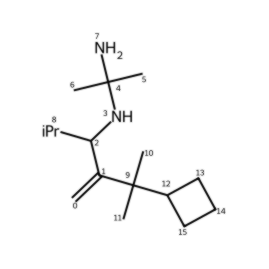 C=C(C(NC(C)(C)N)C(C)C)C(C)(C)C1CCC1